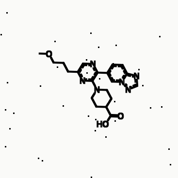 COCCCc1cnc(-c2ccc3ncnn3c2)c(N2CCC(C(=O)O)CC2)n1